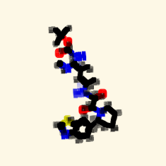 C=N/C(NC(=O)OC(C)(C)C)=C(C)\C=C(/C)NC(=O)C(=O)N1CCCC[C@H]1c1ccc2ncsc2c1